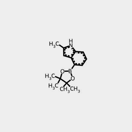 Cc1cc2c(B3OC(C)(C)C(C)(C)O3)cccc2[nH]1